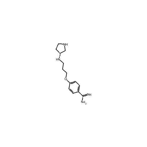 N=C(N)c1ccc(OCCCNC2CCNC2)cc1